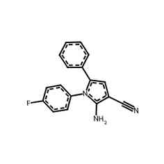 N#Cc1cc(-c2ccccc2)n(-c2ccc(F)cc2)c1N